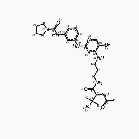 CC(=O)NC(C(=O)NCCCNc1nc(Nc2cccc(NC(=O)N3CCCC3)c2)ncc1Br)C(C)(C)S